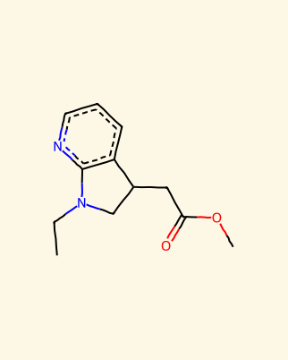 CCN1CC(CC(=O)OC)c2cccnc21